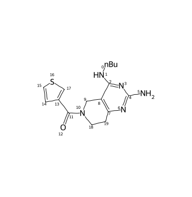 CCCCNc1nc(N)nc2c1CN(C(=O)c1ccsc1)CC2